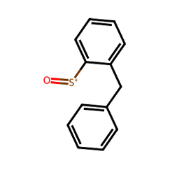 O=[S+]c1ccccc1Cc1ccccc1